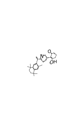 C=C(c1ccc(C2=C(O)CCCC2=O)cn1)c1cc2c(cc1C)C(C)(C)CCC2(C)C